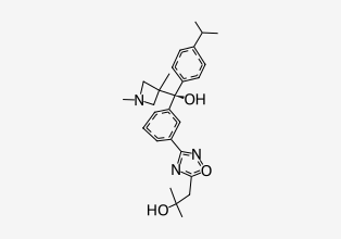 CC(C)c1ccc([C@](O)(c2cccc(-c3noc(CC(C)(C)O)n3)c2)C2(C)CN(C)C2)cc1